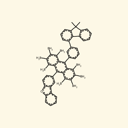 Bc1c(B)c(B)c2c(-c3ccc4oc5ccccc5c4c3)c3c(B)c(B)c(B)c(B)c3c(-c3cccc(-c4cccc5c4-c4ccccc4C5(C)C)c3)c2c1B